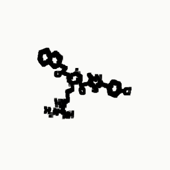 Cc1nc(-c2ccc(Cl)cc2)sc1C(=O)N1C[C@@H](C)N(C(=O)Cc2ccc3ccccc3c2)C[C@@H]1CCCNC(=N)N